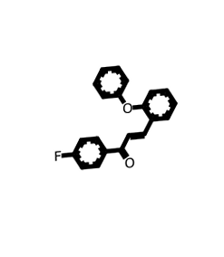 O=C(/C=C/c1ccccc1Oc1ccccc1)c1ccc(F)cc1